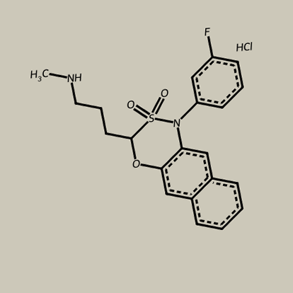 CNCCCC1Oc2cc3ccccc3cc2N(c2cccc(F)c2)S1(=O)=O.Cl